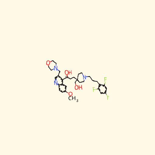 COc1ccc2ncc(CN3CCOCC3)c([C@@H](O)CCC3(CO)CCN(CCCc4c(F)cc(F)cc4F)CC3)c2c1